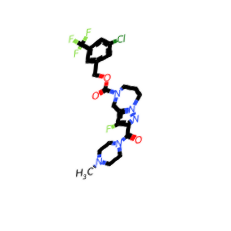 CN1CCN(C(=O)c2nn3c(c2F)CN(C(=O)OCc2cc(Cl)cc(C(F)(F)F)c2)CCC3)CC1